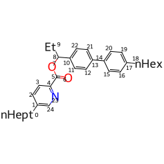 CCCCCCCc1ccc(C(=O)OC(CC)c2ccc(-c3ccc(CCCCCC)cc3)cc2)nc1